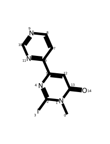 Cn1c(I)nc(-c2ccncn2)cc1=O